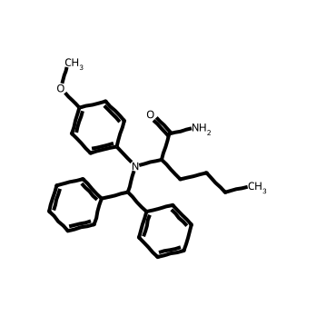 CCCCC(C(N)=O)N(c1ccc(OC)cc1)C(c1ccccc1)c1ccccc1